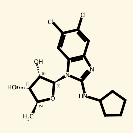 C[C@@H]1O[C@H](n2c(NC3CCCC3)nc3cc(Cl)c(Cl)cc32)[C@@H](O)[C@H]1O